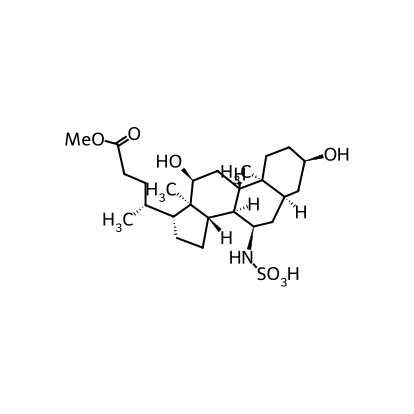 COC(=O)CC[C@@H](C)[C@H]1CC[C@H]2[C@@H]3[C@H](NS(=O)(=O)O)C[C@@H]4C[C@H](O)CC[C@]4(C)[C@H]3C[C@H](O)[C@]12C